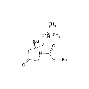 C[SiH](C)OC[C@@]1(C(C)(C)C)CC(=O)CN1C(=O)OC(C)(C)C